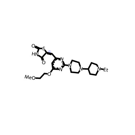 CCN1CCC(N2CCN(c3nc(/C=C4/SC(=O)NC4=O)cc(OCCOC)n3)CC2)CC1